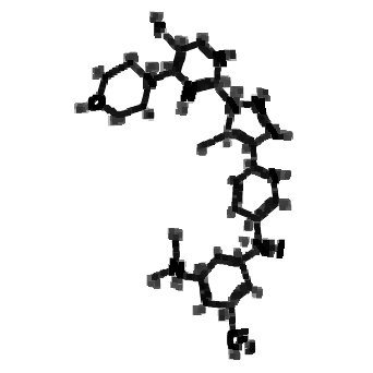 Cc1c(-c2ccc(Nc3cc(N(C)C)cc(C(F)(F)F)c3)cn2)nnn1-c1ncc(F)c(N2CCOCC2)n1